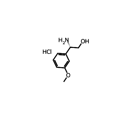 COc1cccc([C@H](N)CO)c1.Cl